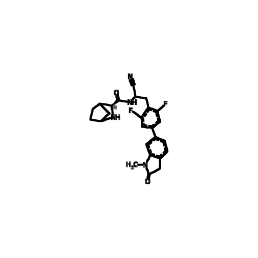 CN1C(=O)Cc2ccc(-c3cc(F)c(CC(C#N)NC(=O)[C@H]4NC5CCC4C5)c(F)c3)cc21